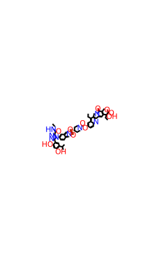 CCNC(=O)c1nnc(-c2cc(C(C)C)c(O)cc2O)n1-c1ccc2cn(S(=O)(=O)C3CCN(C(=O)Oc4ccc5nc6c(c(CC)c5c4)Cn4c-6cc5c(c4=O)COC(=O)C5(O)CC)CC3)cc2c1